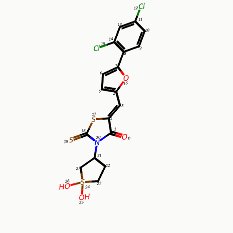 O=C1C(=Cc2ccc(-c3ccc(Cl)cc3Cl)o2)SC(=S)N1C1CCS(O)(O)C1